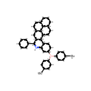 CC(C)(C)c1ccc(B(c2ccc(C(C)(C)C)cc2)c2ccc3c(c2)nc(-c2ccccc2)c2cc4ccc5cccc6ccc(c23)c4c56)cc1